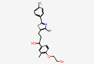 Cc1cc(C(O)CCc2sc(-c3ccc(C(F)(F)F)cc3)nc2C(C)C)ccc1OCCO